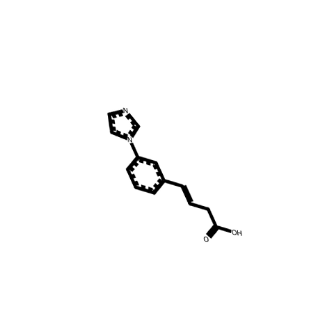 O=C(O)CC=Cc1cccc(-n2ccnc2)c1